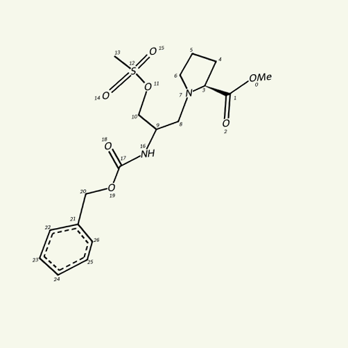 COC(=O)[C@@H]1CCCN1CC(COS(C)(=O)=O)NC(=O)OCc1ccccc1